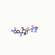 O=C(NCCC(=O)C12CC[C@@H]3C[C@@H](Nc4ccc5c(=O)[nH]ccc5c4)C[C@@H](CC31)C2)c1ccc[nH]1